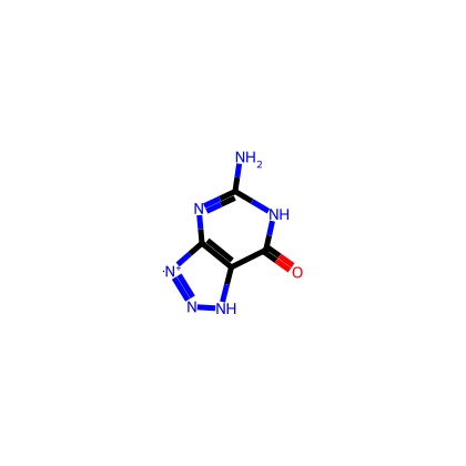 Nc1nc2c(c(=O)[nH]1)NN=[N+]2